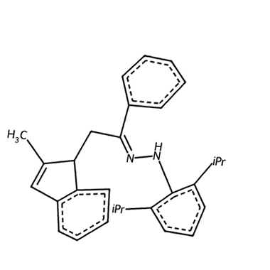 CC1=Cc2ccccc2C1CC(=NNc1c(C(C)C)cccc1C(C)C)c1ccccc1